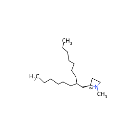 CCCCCCCC(CCCCCC)C[C@H]1CCN1C